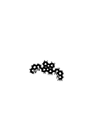 c1ccc2c(c1)-c1ccccc1C21c2cc(-c3ccc4ccc5cccnc5c4n3)ccc2-c2ccc(-c3ccc4ccc5cccnc5c4n3)cc21